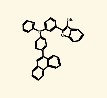 CC(C)(C)c1c(-c2cccc(N(c3ccccc3)c3ccc(-c4cc5ccccc5c5ccccc45)cc3)c2)oc2ccccc12